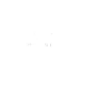 COC[C@H](NC(C)C)C(=O)O